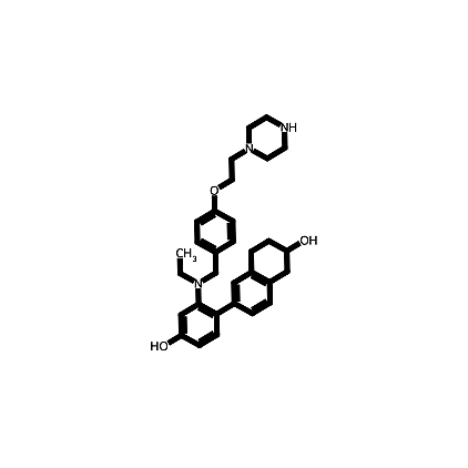 CCN(Cc1ccc(OCCN2CCNCC2)cc1)c1cc(O)ccc1-c1ccc2c(c1)CCC(O)C2